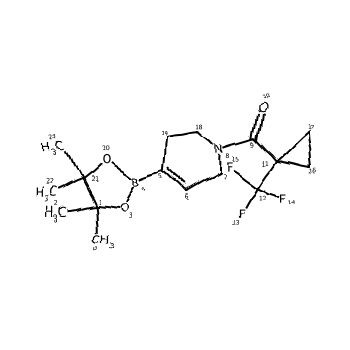 CC1(C)OB(C2=CCN(C(=O)C3(C(F)(F)F)CC3)CC2)OC1(C)C